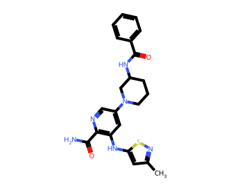 Cc1cc(Nc2cc(N3CCCC(NC(=O)c4ccccc4)C3)cnc2C(N)=O)sn1